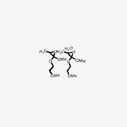 COCCOC1(OC)OC1C.COCCOC1(OC)OC1C.O